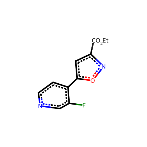 CCOC(=O)c1cc(-c2ccncc2F)on1